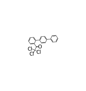 O=C(c1ccccc1-c1ccc(-c2ccccc2)cc1)C(Cl)(Cl)Cl